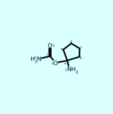 NC(=O)OC1(N)CCCC1